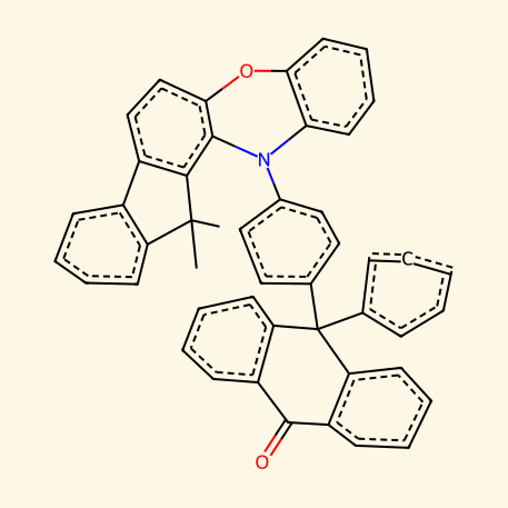 CC1(C)c2ccccc2-c2ccc3c(c21)N(c1ccc(C2(c4ccccc4)c4ccccc4C(=O)c4ccccc42)cc1)c1ccccc1O3